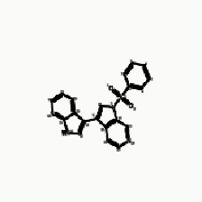 O=S(=O)(c1ccccc1)n1cc(-c2c[nH]c3ncccc23)c2ccncc21